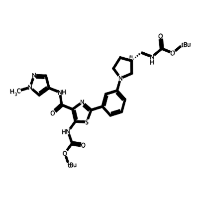 Cn1cc(NC(=O)c2nc(-c3cccc(N4CC[C@H](CNC(=O)OC(C)(C)C)C4)c3)sc2NC(=O)OC(C)(C)C)cn1